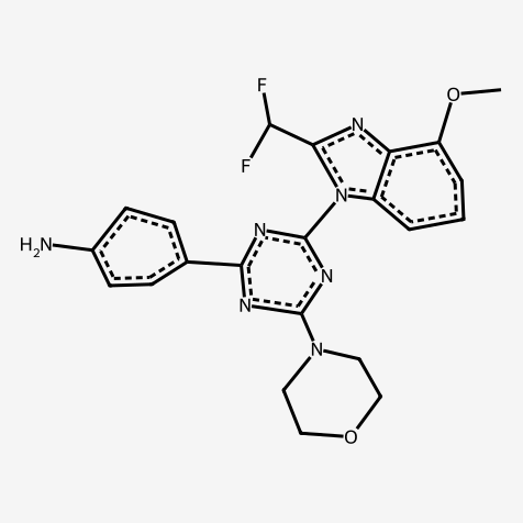 COc1cccc2c1nc(C(F)F)n2-c1nc(-c2ccc(N)cc2)nc(N2CCOCC2)n1